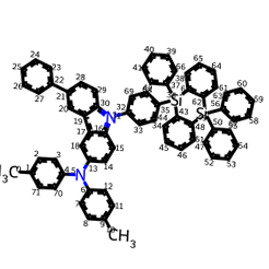 Cc1ccc(N(c2ccc(C)cc2)c2ccc3c(c2)c2cc(-c4ccccc4)ccc2n3-c2ccc([Si]3(c4ccccc4)c4ccccc4[Si](c4ccccc4)(c4ccccc4)c4ccccc43)cc2)cc1